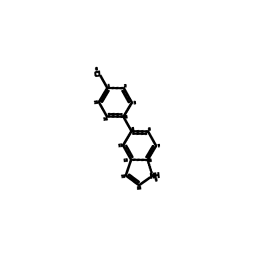 Clc1ccc(-c2ccc3[nH]ccc3c2)cc1